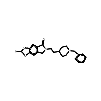 CCC1Oc2cc3c(cc2O1)C(=O)N(CCC1CCN(Cc2ccccc2)CC1)C3